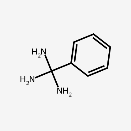 NC(N)(N)c1ccccc1